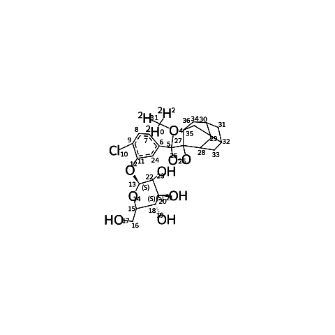 [2H]C([2H])([2H])OC1(c2ccc(Cl)c(O[C@@H]3OC(CO)[C@@H](O)[C@H](O)C3O)c2)OOC12C1CC3CC(C1)CC2C3